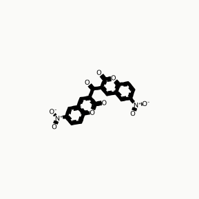 O=C(c1cc2cc([N+](=O)[O-])ccc2oc1=O)c1cc2cc([N+](=O)[O-])ccc2oc1=O